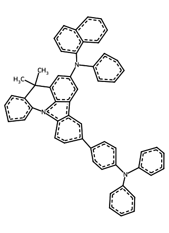 CC1(C)c2ccccc2-n2c3ccc(-c4ccc(N(c5ccccc5)c5ccccc5)cc4)cc3c3cc(N(c4ccccc4)c4cccc5ccccc45)cc1c32